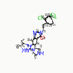 CC(C)C(C)N(C(=N)N1C[C@@H](C)N[C@@H](C)C1)c1ccc2c(=O)n(CCc3ccc(Cl)cc3Cl)cnc2c1